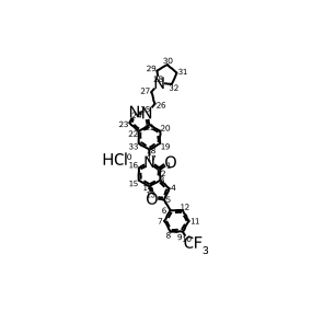 Cl.O=c1c2cc(-c3ccc(C(F)(F)F)cc3)oc2ccn1-c1ccc2c(cnn2CCN2CCCC2)c1